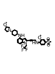 COc1cc(S(C)(=O)=O)ccc1NCC#Cc1cc2c(N[C@H]3CC[C@@H](N4CCC(OC)C4)CC3)cccc2n1CC(F)(F)F